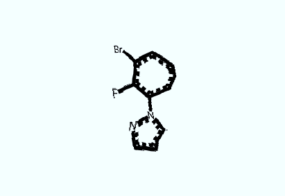 Fc1c(Br)cccc1-n1[c]ccn1